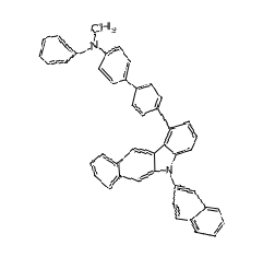 CN(c1ccccc1)c1ccc(-c2ccc(-c3cccc4c3c3cc5ccccc5cc3n4-c3ccc4ccccc4c3)cc2)cc1